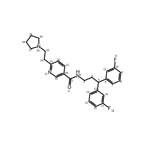 O=C(NCCC(c1cccc(F)c1)c1cccc(F)c1)c1ccc(CCN2CCCC2)nc1